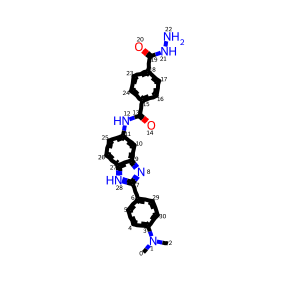 CN(C)c1ccc(-c2nc3cc(NC(=O)c4ccc(C(=O)NN)cc4)ccc3[nH]2)cc1